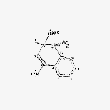 COC1(C)C=C(N)c2ccccc2N1.Cl